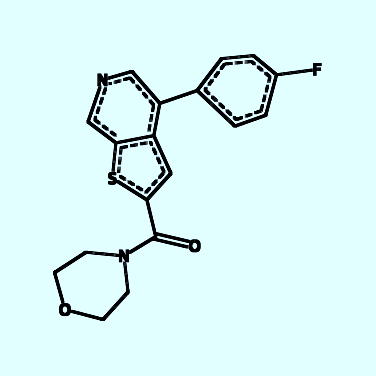 O=C(c1cc2c(-c3ccc(F)cc3)cncc2s1)N1CCOCC1